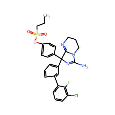 CCCS(=O)(=O)Oc1ccc(C2(c3cccc(-c4cccc(Cl)c4F)c3)N=C(N)N3CCCN=C32)cc1